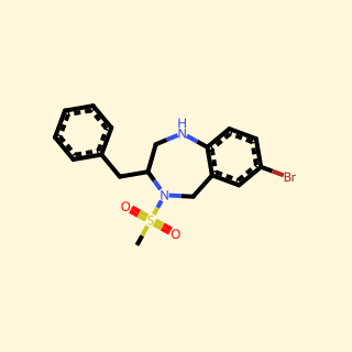 CS(=O)(=O)N1Cc2cc(Br)ccc2NCC1Cc1ccccc1